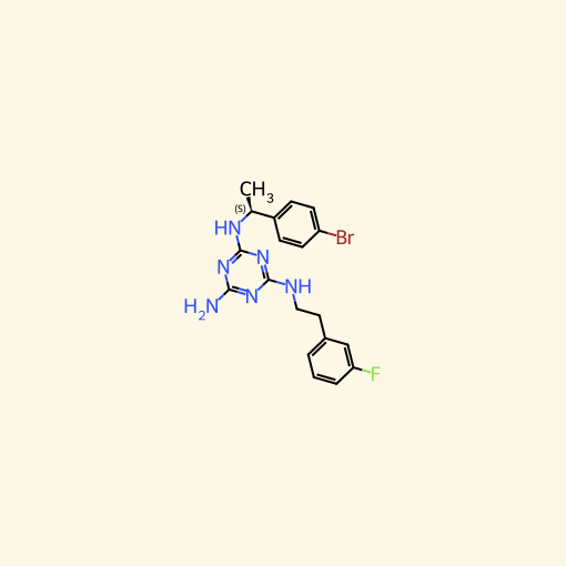 C[C@H](Nc1nc(N)nc(NCCc2cccc(F)c2)n1)c1ccc(Br)cc1